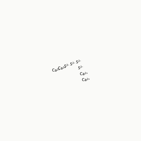 [Ca+2].[Ca+2].[Ca+2].[Ca+2].[S-2].[S-2].[S-2].[S-2]